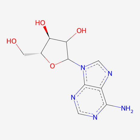 Nc1ncnc2c1ncn2C1O[C@H](CO)[C@@H](O)C1O